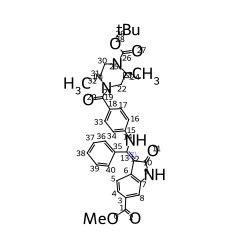 COC(=O)c1ccc2c(c1)NC(=O)/C2=C(\Nc1ccc(C(=O)N2C[C@H](C)N(C(=O)OC(C)(C)C)C[C@H]2C)cc1)c1ccccc1